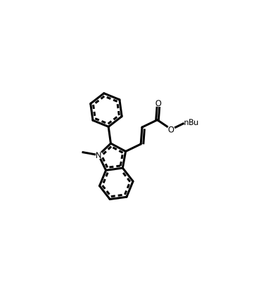 CCCCOC(=O)C=Cc1c(-c2ccccc2)n(C)c2ccccc12